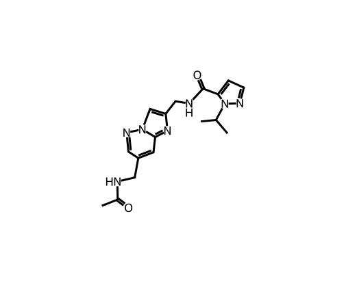 CC(=O)NCc1cnn2cc(CNC(=O)c3ccnn3C(C)C)nc2c1